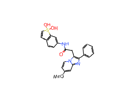 COc1ccn2c(CC(=O)Nc3ccc4c(c3)S(O)(O)C=C4)c(-c3ccccc3)nc2c1